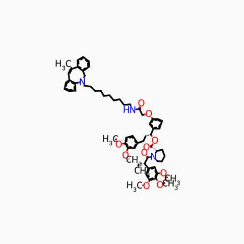 CC[C@H](C(=O)N1CCCC[C@H]1C(=O)O[C@H](CCc1ccc(OC)c(OC)c1)c1cccc(OCC(=O)NCCCCCCCCCCN2Cc3ccccc3/C(C)=C\c3ccccc32)c1)c1cc(OC)c(OC)c(OC)c1